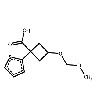 COCOC1CC(C(=O)O)(c2cccs2)C1